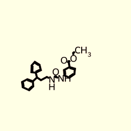 CCOC(=O)c1cccc(NC(=O)NCCC(c2ccccc2)c2ccccc2)c1